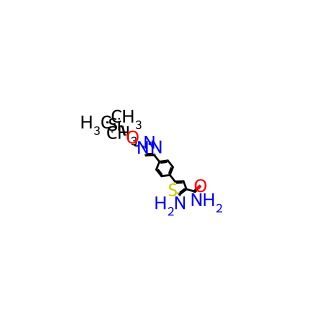 C[Si](C)(C)CCOCn1cc(-c2ccc(-c3cc(C(N)=O)c(N)s3)cc2)nn1